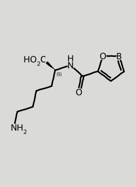 NCCCC[C@H](NC(=O)c1ccbo1)C(=O)O